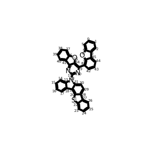 c1ccc2c(c1)oc1c(-c3nc(-n4c5ccccc5c5c6sc7ccccc7c6ccc54)nc4c3oc3ccccc34)cccc12